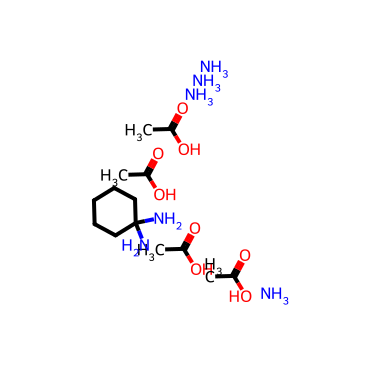 CC(=O)O.CC(=O)O.CC(=O)O.CC(=O)O.N.N.N.N.NC1(N)CCCCC1